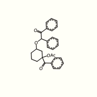 CC(=O)OC1(C(=O)c2ccccc2)CCCC(OC(C(=O)c2ccccc2)c2ccccc2)C1